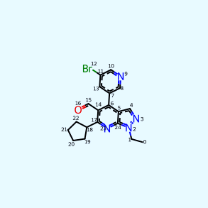 CCn1ncc2c(-c3cncc(Br)c3)c(C=O)c(C3CCCC3)nc21